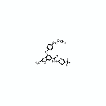 COOSc1ccc(Oc2cc(C(=O)Nc3ccc(C(F)(F)F)cn3)cc3oc(C)cc23)cc1